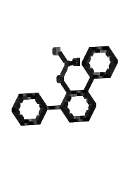 ClP(Cl)Oc1c(-c2ccccc2)cccc1-c1ccccc1